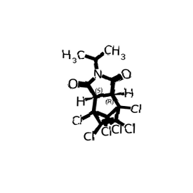 CC(C)N1C(=O)[C@@H]2[C@H](C1=O)C1(Cl)C(Cl)=C(Cl)C2(Cl)C1(Cl)Cl